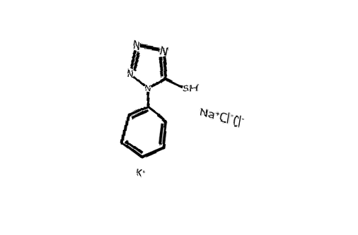 Sc1nnnn1-c1ccccc1.[Cl-].[Cl-].[K+].[Na+]